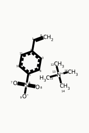 C=Cc1ccc(S(=O)(=O)[O-])cc1.C[N+](C)(C)C